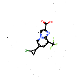 O=C(O)c1cn2cc(C3CC3Cl)cc(C(F)(F)F)c2n1